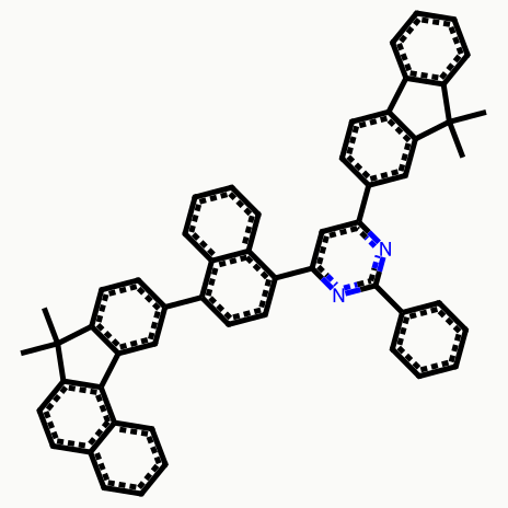 CC1(C)c2ccccc2-c2ccc(-c3cc(-c4ccc(-c5ccc6c(c5)-c5c(ccc7ccccc57)C6(C)C)c5ccccc45)nc(-c4ccccc4)n3)cc21